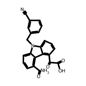 N#Cc1cccc(Cn2c3cccc(C(N)=O)c3c3c(C(=O)C(=O)O)cccc32)c1